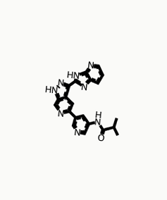 CC(C)C(=O)Nc1cncc(-c2cc3c(-c4nc5cccnc5[nH]4)n[nH]c3cn2)c1